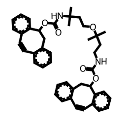 CC(C)(CCOC(C)(C)CCNC(=O)OC1Cc2ccccc2C#Cc2ccccc21)NC(=O)OC1Cc2ccccc2C#Cc2ccccc21